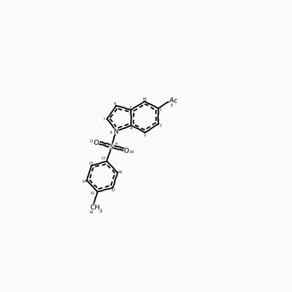 CC(=O)c1ccc2c(ccn2S(=O)(=O)c2ccc(C)cc2)c1